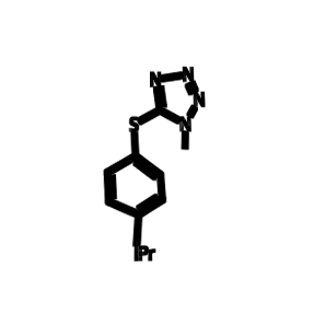 CC(C)c1ccc(Sc2nnnn2C)cc1